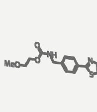 COCCOC(=O)NCc1ccc(-c2nccs2)cc1